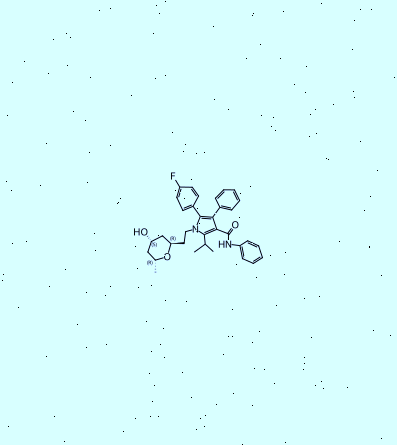 CC(C)c1c(C(=O)Nc2ccccc2)c(-c2ccccc2)c(-c2ccc(F)cc2)n1CC[C@@H]1C[C@@H](O)C[C@@H](C)O1